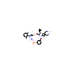 Cc1cccc(C)c1-c1cc2nc(n1)NS(=O)(=O)c1cccc(c1)C(=O)N(C1CC3(CCN(C)CC3)C1)C(CC1(C(F)(F)F)CC1)CO2